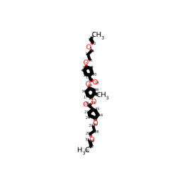 CC=COCCCOc1ccc(C(=O)Oc2ccc(OC(=O)c3ccc(OCCCOC=CC)cc3)c(C)c2)cc1